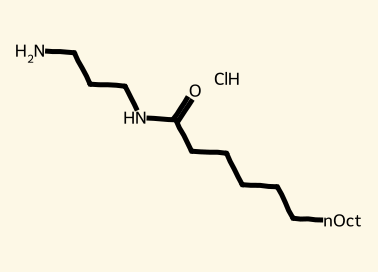 CCCCCCCCCCCCCC(=O)NCCCN.Cl